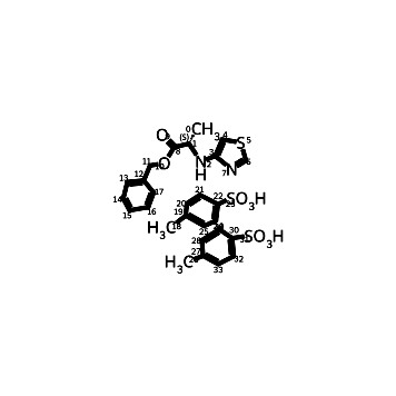 C[C@H](Nc1cscn1)C(=O)OCc1ccccc1.Cc1ccc(S(=O)(=O)O)cc1.Cc1ccc(S(=O)(=O)O)cc1